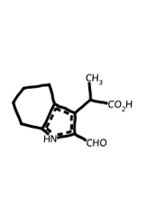 CC(C(=O)O)c1c(C=O)[nH]c2c1CCCC2